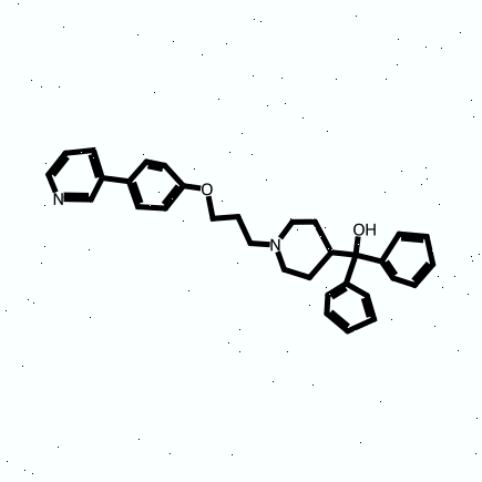 OC(c1ccccc1)(c1ccccc1)C1CCN(CCCOc2ccc(-c3cccnc3)cc2)CC1